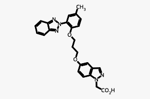 Cc1ccc(OCCCOc2ccc3c(cnn3CC(=O)O)c2)c(-n2nc3ccccc3n2)c1